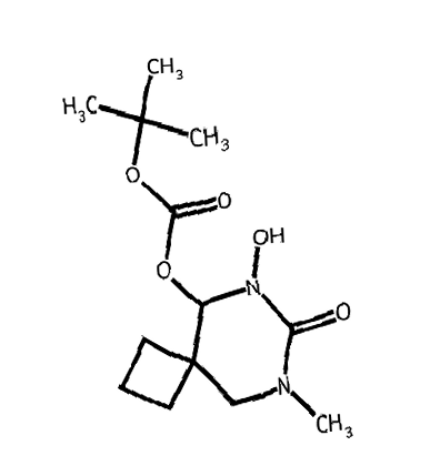 CN1CC2(CCC2)C(OC(=O)OC(C)(C)C)N(O)C1=O